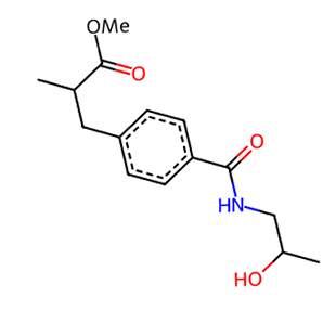 COC(=O)C(C)Cc1ccc(C(=O)NCC(C)O)cc1